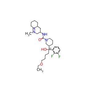 CCOCCCC[C@@](O)(c1cccc(F)c1F)C1CCCN(C(=O)NC(CNC)CC2CCCCC2)C1